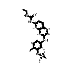 CCNC(=O)Nc1ccc2ncc(Nc3ccc(C)c(NS(C)(=O)=O)c3)nc2n1